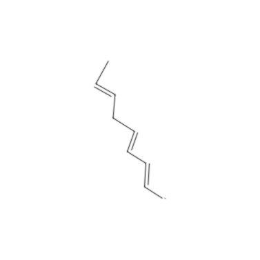 [CH2]C=CC=CCC=CC